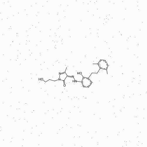 CC1=NN(CCCO)C(=O)/C1=N\Nc1cccc(CCc2c(C)cccc2C)c1O